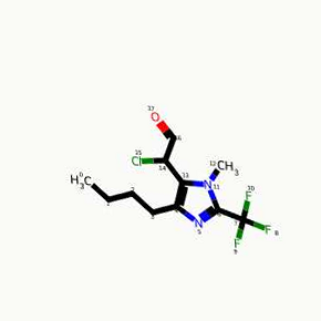 CCCCc1nc(C(F)(F)F)n(C)c1C(Cl)C=O